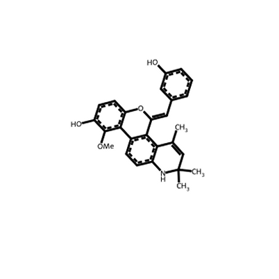 COc1c(O)ccc2c1-c1ccc3c(c1/C(=C/c1cccc(O)c1)O2)C(C)=CC(C)(C)N3